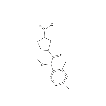 COC(=O)C1CCC(C(=O)C(OC)c2c(C)cc(C)cc2C)C1